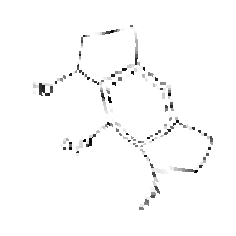 CC1CCc2cc3c(c([N+](=O)[O-])c21)C(O)CC3